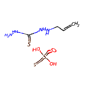 C=CCNNC(=S)NN.O=S(O)(O)=S